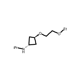 CCOCCO[C@H]1C[C@H](NC(C)C)C1